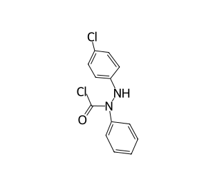 O=C(Cl)N(Nc1ccc(Cl)cc1)c1ccccc1